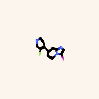 Fc1cnccc1-c1ccn2c(I)cnc2c1